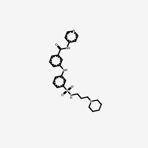 O=C(Nc1ccncc1)c1cccc(Nc2cccc(S(=O)(=O)NCCCN3CCCCC3)c2)c1